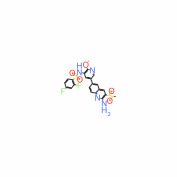 COc1ncc(-c2ccc3nc(N)c(S(C)(=O)=O)cc3c2)cc1NS(=O)(=O)c1ccc(F)cc1F